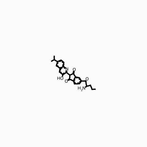 CCCC(N)C(=O)c1ccc2c(c1)C(=O)C(c1nc3ccc(C(C)C)cc3cc1O)C2=O